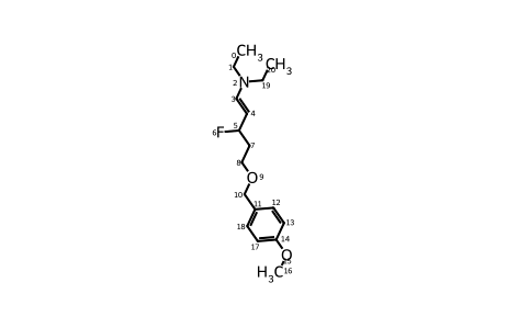 CCN(/C=C/C(F)CCOCc1ccc(OC)cc1)CC